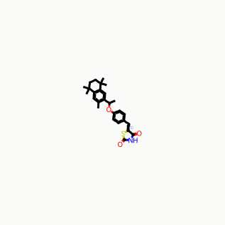 Cc1cc2c(cc1C(C)Oc1ccc(/C=C3\SC(=O)NC3=O)cc1)C(C)(C)CCC2(C)C